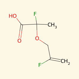 C=C(F)COC(C)(F)C(=O)O